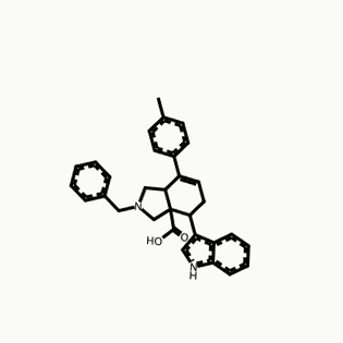 Cc1ccc(C2=CCC(c3c[nH]c4ccccc34)C3(C(=O)O)CN(Cc4ccccc4)CC23)cc1